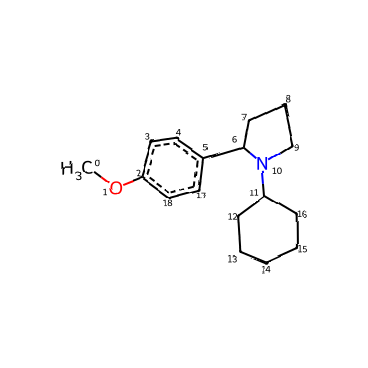 COc1ccc(C2CCCN2C2CCCCC2)cc1